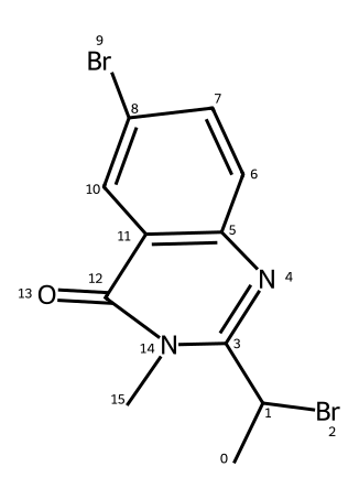 CC(Br)c1nc2ccc(Br)cc2c(=O)n1C